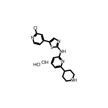 Cl.Cl.Clc1cc(-c2cnc(Nc3cccc(C4CCNCC4)n3)s2)ccn1